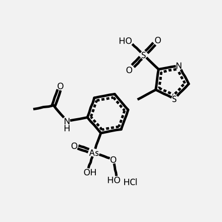 CC(=O)Nc1ccccc1[As](=O)(O)OO.Cc1scnc1S(=O)(=O)O.Cl